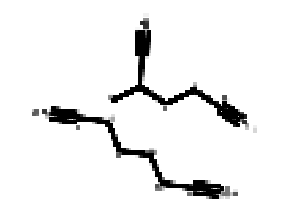 CC(C#N)CCC#N.N#CCCCCC#N